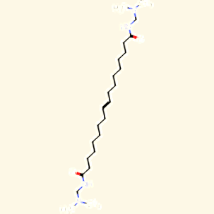 CN(C)CNC(=O)CCCCCCC/C=C/CCCCCCCC(=O)NCN(C)C